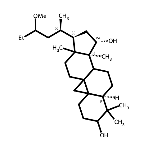 CCC(C[C@@H](C)[C@H]1C[C@H](O)[C@@]2(C)C3CC[C@H]4C(C)(C)C(O)CCC45CC35CCC12C)OC